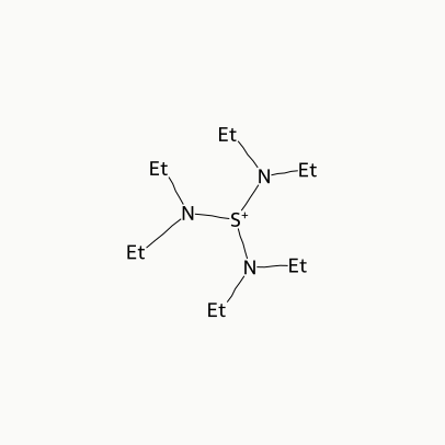 CCN(CC)[S+](N(CC)CC)N(CC)CC